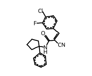 N#CC(=Cc1ccc(Cl)c(F)c1)C(=O)NC1(c2ccccc2)CCCC1